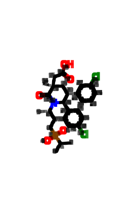 CC(C)S(=O)(=O)CC[C@H](C)N1C(=O)[C@@](C)(CC(=O)O)C[C@H](c2cccc(Cl)c2)[C@H]1c1ccc(Cl)cc1